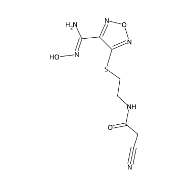 N#CCC(=O)NCCSc1nonc1/C(N)=N/O